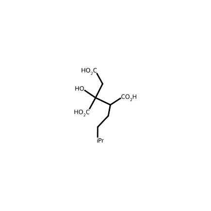 CC(C)CCC(C(=O)O)C(O)(CC(=O)O)C(=O)O